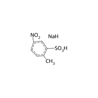 Cc1ccc([N+](=O)[O-])cc1S(=O)(=O)O.[NaH]